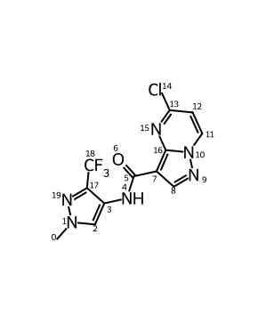 Cn1cc(NC(=O)c2cnn3ccc(Cl)nc23)c(C(F)(F)F)n1